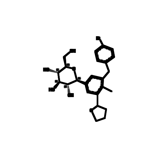 CCc1ccc(Cc2cc([C@@H]3O[C@H](CO)[C@@H](O)[C@H](O)[C@H]3O)cc(C3CCCO3)c2C)cc1